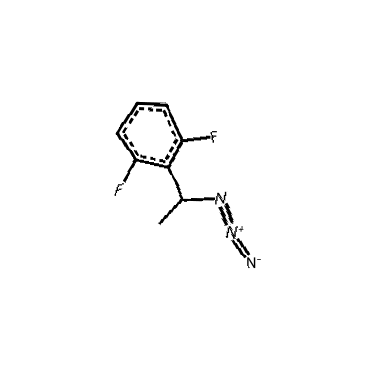 CC(N=[N+]=[N-])c1c(F)cccc1F